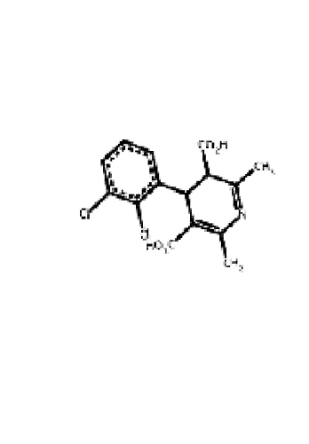 CC1=NC(C)=C(C(=O)O)C(c2cccc(Cl)c2Cl)C1C(=O)O